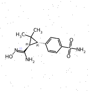 CC1(C)[C@H](/C(N)=N/O)[C@H]1c1ccc(S(N)(=O)=O)cc1